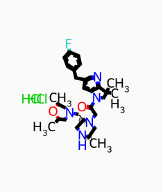 CC1CN(C[C@H]2CN[C@H](C)CN2CC(=O)N2CC(C)(C)c3ncc(Cc4ccc(F)cc4)cc32)CC(C)O1.Cl.Cl